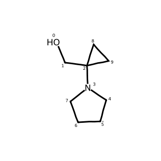 OCC1(N2C[CH]CC2)CC1